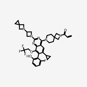 C=CC(=O)N1CC2(CCN(c3nc(N4CC(N5CC6(CC6)C5)C4)nc4c(OCC(F)(F)F)c(-c5c(O)cccc5F)c(C5CC5)cc34)CC2)C1